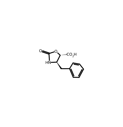 O=C1N[C@H](Cc2ccccc2)[C@@H](C(=O)O)O1